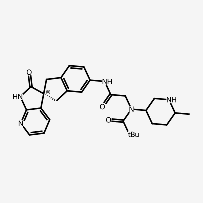 CC1CCC(N(CC(=O)Nc2ccc3c(c2)C[C@@]2(C3)C(=O)Nc3ncccc32)C(=O)C(C)(C)C)CN1